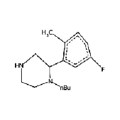 CCCCN1CCNCC1c1cc(F)ccc1C